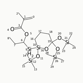 C=C(C)C(=O)OC(CC)[SiH2][Si]1(O[Si](C)(C)C)CCCC(O[Si](C)(C)C)(O[Si](C)(C)C)O1